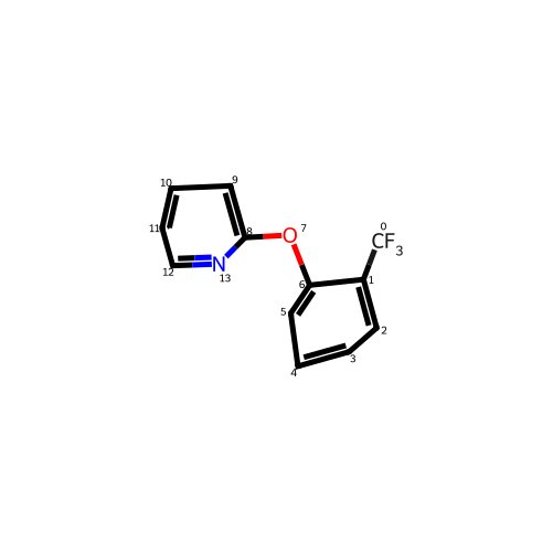 FC(F)(F)c1ccccc1Oc1cc[c]cn1